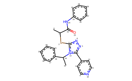 CC(Sc1nnc(-c2ccncc2)n1C(C)c1ccccc1)C(=O)Nc1ccccc1